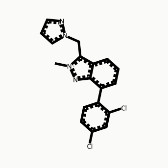 Cn1nc2c(-c3ccc(Cl)cc3Cl)cccc2c1Cn1cccn1